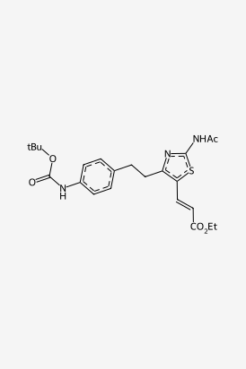 CCOC(=O)C=Cc1sc(NC(C)=O)nc1CCc1ccc(NC(=O)OC(C)(C)C)cc1